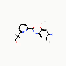 C=C1C=C(NC(=O)c2cccc(C(C)(C)CO)n2)C(OC)=CC1=N